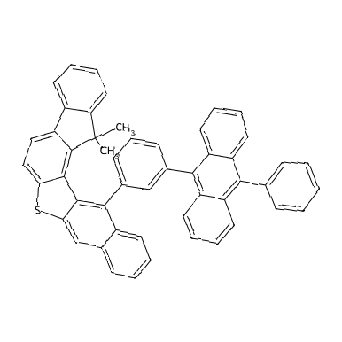 CC1(C)c2ccccc2-c2ccc3sc4cc5ccccc5c(-c5cccc(-c6c7ccccc7c(-c7ccccc7)c7ccccc67)c5)c4c3c21